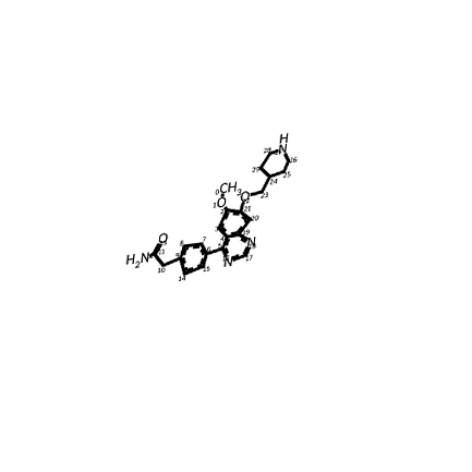 COc1cc2c(-c3ccc(CC(N)=O)cc3)ncnc2cc1OCC1CCNCC1